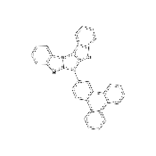 c1ccc2c(c1)nc1n(-c3ccc4c5ccccc5c5ccccc5c4c3)c3oc4ccccc4c3n21